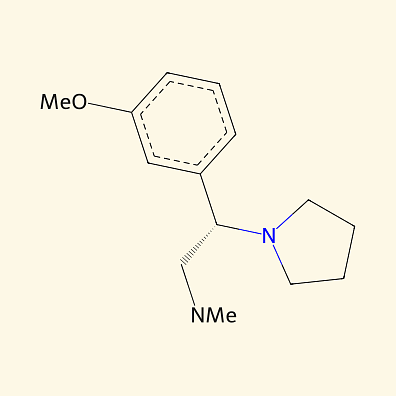 CNC[C@H](c1cccc(OC)c1)N1CCCC1